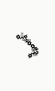 O=C([C@H](O)Cc1ccccc1)N1CCC[C@H]1c1ncc(-c2ccc(-c3ccc(-c4cnc([C@@H]5CCCN5C(=O)[C@H](O)Cc5ccccc5)[nH]4)cc3)cc2)[nH]1